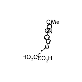 COc1ccc2nc(-c3ccc4cc(OCCCCCC(C(=O)O)C(=O)O)ccc4c3)oc2c1